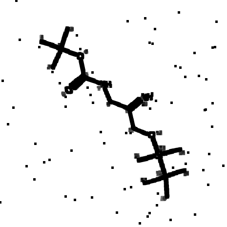 CC(C)(C)OC(=O)NCC(=N)CO[Si](C)(C)C(C)(C)C